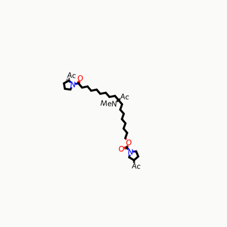 CNC(CCCCCCCCOC(=O)N1CCC(C(C)=O)C1)(CCCCCCCCC(=O)N1CCC[C@@H]1C(C)=O)C(C)=O